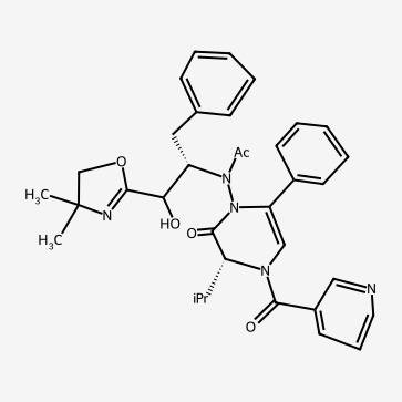 CC(=O)N([C@@H](Cc1ccccc1)C(O)C1=NC(C)(C)CO1)N1C(=O)[C@@H](C(C)C)N(C(=O)c2cccnc2)C=C1c1ccccc1